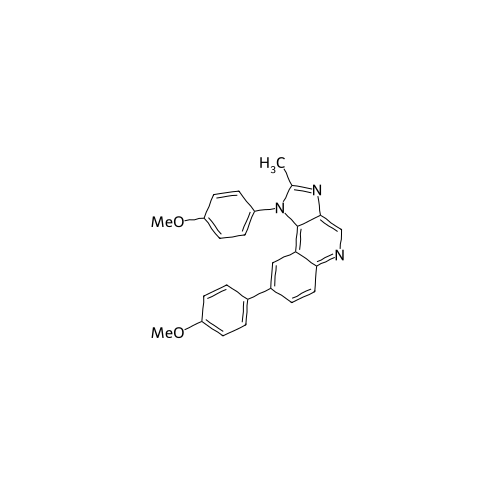 COc1ccc(-c2ccc3ncc4nc(C)n(-c5ccc(OC)cc5)c4c3c2)cc1